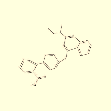 CCC(C)c1nc(Cc2ccc(-c3ccccc3C(=O)O)cc2)c2ccccc2n1